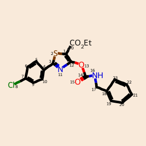 CCOC(=O)c1sc(-c2ccc(Cl)cc2)nc1OC(=O)NCc1ccccc1